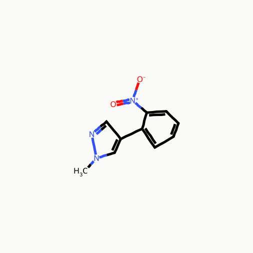 Cn1cc(-c2ccccc2[N+](=O)[O-])cn1